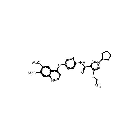 COc1cc2nccc(Oc3ccc(NC(=O)c4nn(C5CCCC5)cc4OCC(F)(F)F)nc3)c2cc1OC